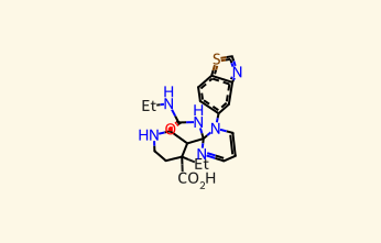 CCNC(=O)NC1(C2CNCCC2(CC)C(=O)O)N=CC=CN1c1ccc2scnc2c1